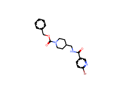 O=C(NCC1CCN(C(=O)OCc2ccccc2)CC1)c1ccc(Br)nc1